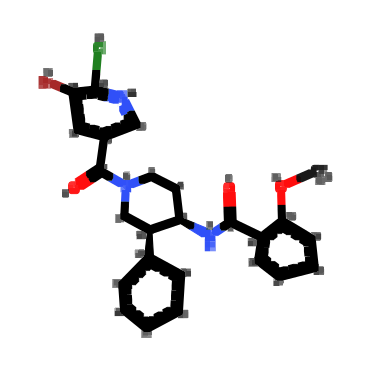 O=C(N[C@@H]1CCN(C(=O)c2cnc(Cl)c(Br)c2)C[C@@H]1c1ccccc1)c1ccccc1OC(F)(F)F